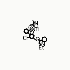 CCc1cc(OCc2ccc(-c3ccccc3S(=O)(=O)Nc3onc(C)c3C)c(Cl)c2)c2c(n1)CCCC2